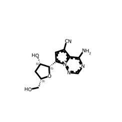 N#Cc1cc([C@@H]2O[C@H](CO)C[C@@H]2O)n2ncnc(N)c12